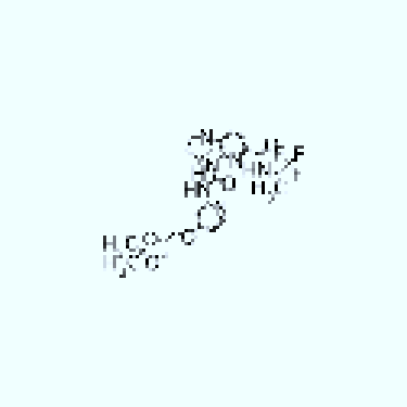 CC(NC(=O)c1ccc2c(n1)N(C(=O)Nc1cc(OC[C@H]3COC(C)(C)O3)ccn1)[C@H]1CCN2C1)C(F)(F)F